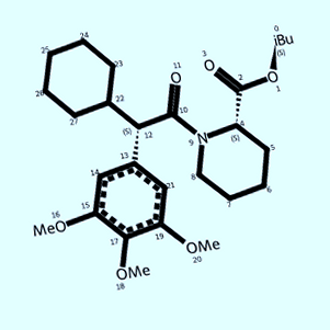 CC[C@H](C)OC(=O)[C@@H]1CCCCN1C(=O)[C@H](c1cc(OC)c(OC)c(OC)c1)C1CCCCC1